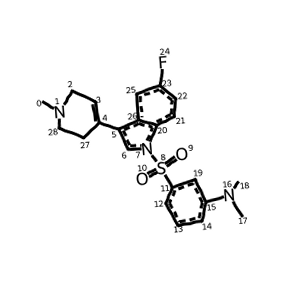 CN1CC=C(c2cn(S(=O)(=O)c3cccc(N(C)C)c3)c3ccc(F)cc23)CC1